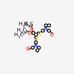 CCCCC(CC)COc1cc2c(cc1OCC(CC)CCCC)c1cc(-c3ccc(N(c4ccc(C=O)cc4)c4cccc5ccccc45)cc3)sc1c1sc(-c3ccc(N(c4ccc(C=O)cc4)c4cccc5ccccc45)cc3)cc21